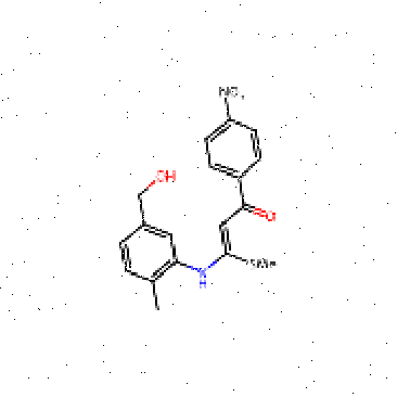 CS/C(=C\C(=O)c1ccc([N+](=O)[O-])cc1)Nc1cc(CO)ccc1C